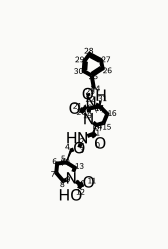 O=C(NOC[C@@H]1CCCN(C(=O)O)C1)[C@@H]1CC[C@@H]2CN1C(=O)N2OCc1ccccc1